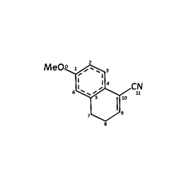 COc1ccc2c(c1)CCC=C2C#N